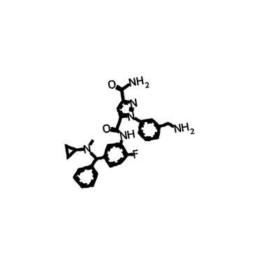 CN(C1CC1)C(c1ccccc1)c1ccc(F)c(NC(=O)c2cc(C(N)=O)nn2-c2cccc(CN)c2)c1